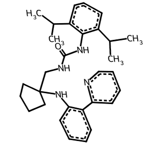 CC(C)c1cccc(C(C)C)c1NC(=O)NCC1(Nc2ccccc2-c2ccccn2)CCCC1